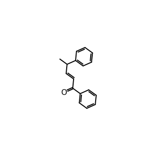 CC(C=CC(=O)c1ccccc1)c1ccccc1